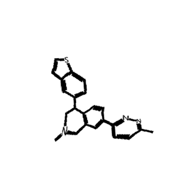 Cc1ccc(-c2ccc3c(c2)CN(C)CC3c2ccc3sccc3c2)nn1